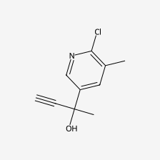 C#CC(C)(O)c1cnc(Cl)c(C)c1